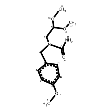 COc1ccc(CN(CC(OC)OC)C(N)=O)cc1